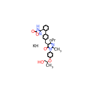 CCCc1nc(C)n(-c2ccc(OC(C)CO)cc2)c(=O)c1Cc1ccc(-c2ccccc2-c2noc(=O)[nH]2)cc1.[KH]